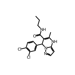 CCCNC(=O)C1=C(C)Nc2ccnn2C1c1ccc(Cl)c(Cl)c1